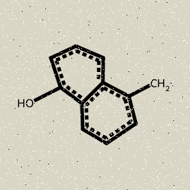 [CH2]c1cccc2c(O)cccc12